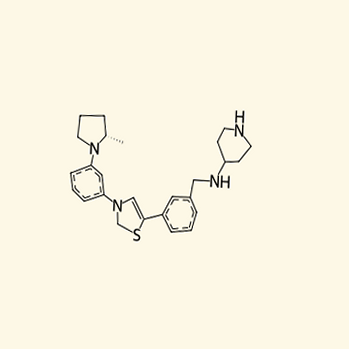 C[C@H]1CCCN1c1cccc(N2C=C(c3cccc(CNC4CCNCC4)c3)SC2)c1